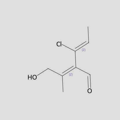 C/C=C(Cl)/C(C=O)=C(/C)CO